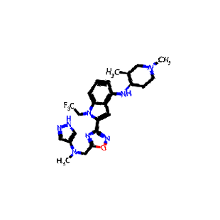 C[C@H]1CN(C)CC[C@H]1Nc1cccc2c1cc(-c1noc(CN(C)c3cn[nH]c3)n1)n2CC(F)(F)F